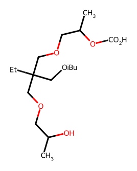 CCC(COCC(C)C)(COCC(C)O)COCC(C)OC(=O)O